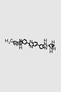 C[C@@H]1CN[C@H](c2nc3ccc(-c4cnc5cc(-c6ccc7nc([C@@H]8C[C@H]9C[C@H]9N8)[nH]c7c6)ccc5n4)cc3[nH]2)C1